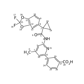 Cc1cc(NC(=O)C2(c3ccc4c(c3)OC(F)(F)O4)CC2)nc(-c2cccc(C(=O)O)c2)c1